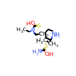 C1CCNCC1.CC.CCN(CC)C(O)=S.NC(O)=S